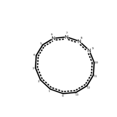 c1cccccnnnncccc1